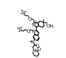 CN(C(=O)CN1CCCCC1=O)c1ccc2cc(-c3nn(COCC[Si](C)(C)C)c4c3CCC(C)(CO)C4)n(COCC[Si](C)(C)C)c2c1